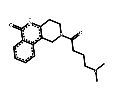 CN(C)CCCC(=O)N1CCc2[nH]c(=O)c3ccccc3c2C1